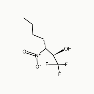 CCCC[C@H]([C@@H](O)C(F)(F)F)[N+](=O)[O-]